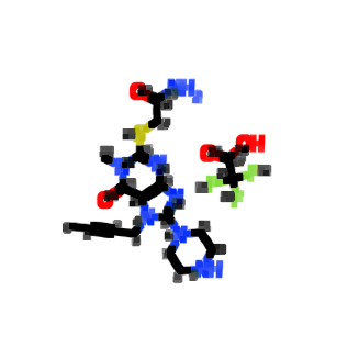 CC#CCn1c(N2CCNCC2)nc2nc(SCC(N)=O)n(C)c(=O)c21.O=C(O)C(F)(F)F